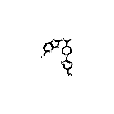 CCCc1cnc(N2CCC(C(C)Oc3nc4ccc(Br)nc4s3)CC2)nc1